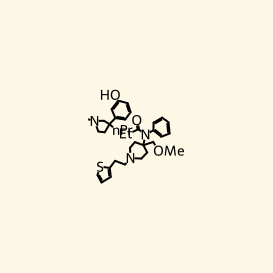 CCC(=O)N(c1ccccc1)C1(COC)CCN(CCc2cccs2)CC1.CCCC1(c2cccc(O)c2)CCN(C)C1